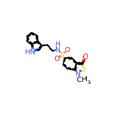 Cn1sc(=O)c2cc(S(=O)(=O)NCCc3c[nH]c4ccccc34)ccc21